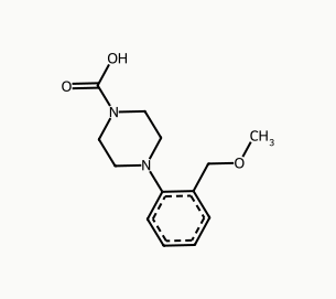 COCc1ccccc1N1CCN(C(=O)O)CC1